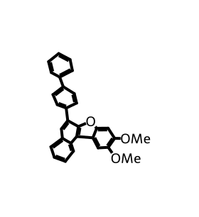 COc1cc2oc3c(-c4ccc(-c5ccccc5)cc4)cc4ccccc4c3c2cc1OC